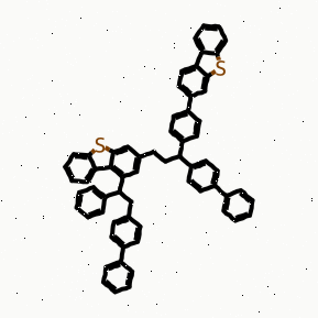 c1ccc(-c2ccc(CC(c3ccccc3)c3cc(CCC(c4ccc(-c5ccccc5)cc4)c4ccc(-c5ccc6c(c5)sc5ccccc56)cc4)cc4sc5ccccc5c34)cc2)cc1